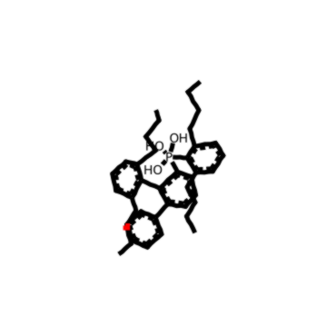 CCCCc1cccc(CCCC)c1-c1c(-c2ccccc2)cccc1P(O)(O)(O)c1c(CCCC)cccc1CCCC